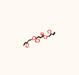 C=CC(=O)CCOC(=O)/C=C/C(=O)OCCC(=O)C=C